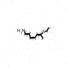 CCS/C(C)=C/C=C\C=C\N